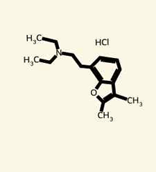 CCN(CC)CCc1cccc2c(C)c(C)oc12.Cl